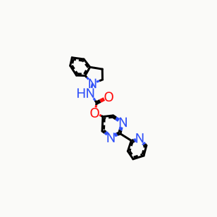 O=C(NN1CCc2ccccc21)Oc1cnc(-c2ccccn2)nc1